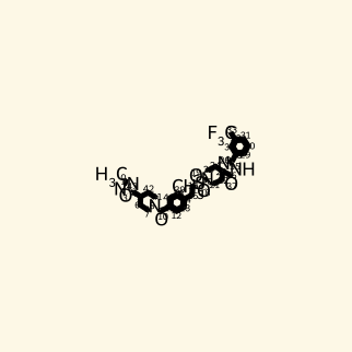 Cc1noc(C2CCN(C(=O)c3ccc(CCS(=O)(=O)N4CCC5(CC4)N=C(c4cccc(C(F)(F)F)c4)NC5=O)c(C)c3)CC2)n1